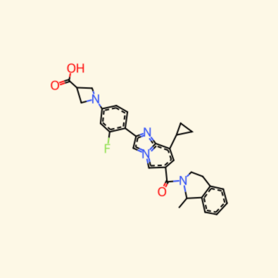 CC1c2ccccc2CCN1C(=O)c1cc(C2CC2)c2nc(-c3ccc(N4CC(C(=O)O)C4)cc3F)cn2c1